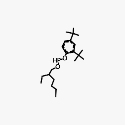 CCCCC(CC)COPOc1ccc(C(C)(C)C)cc1C(C)(C)C